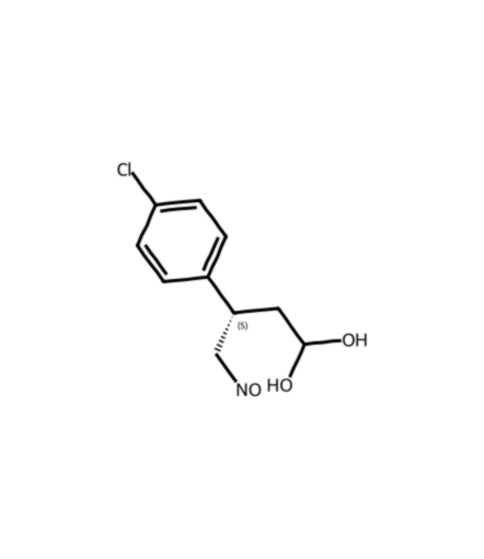 O=NC[C@@H](CC(O)O)c1ccc(Cl)cc1